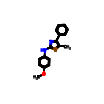 COc1ccc(Nc2nc(-c3ccccc3)c(C)s2)cc1